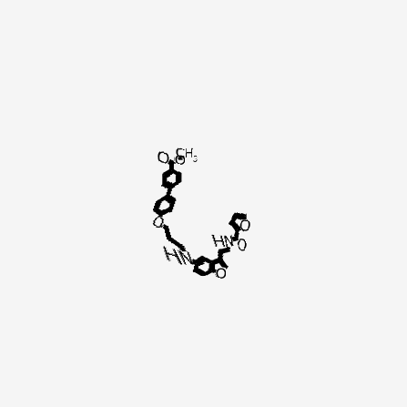 COC(=O)c1ccc(-c2ccc(OCCCNc3ccc4occ(CCNC(=O)c5ccco5)c4c3)cc2)cc1